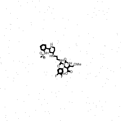 COCC1=C(C(=O)OC)[C@H](c2ccc(F)c(F)c2)N(C(=O)NCCNC2CCNC(c3ccccc3NS(C)(=O)=O)C2)C(=O)N1